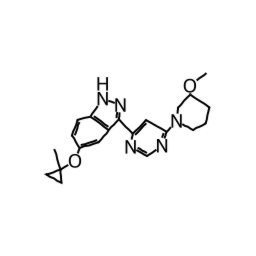 COC1CCCN(c2cc(-c3n[nH]c4ccc(OC5(C)CC5)cc34)ncn2)C1